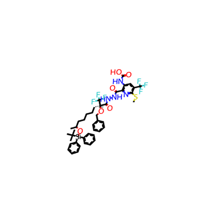 CSc1nc(C(=O)NNC(=O)[C@@](CCCCCC(C)O[Si](c2ccccc2)(c2ccccc2)C(C)(C)C)(OCc2ccccc2)C(F)(F)F)c(NC(=O)O)cc1C(F)(F)F